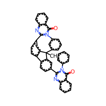 CC12c3cccc(c3)-n3c(nc4ccccc4c3=O)-c3ccc(c1c3)-c1ccc(-c3nc4ccccc4c(=O)n3-c3ccccc3)cc12